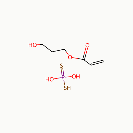 C=CC(=O)OCCCO.OP(O)(=S)S